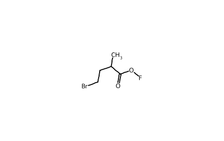 CC(CCBr)C(=O)OF